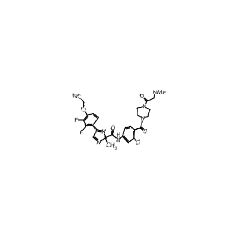 CNCC(=O)N1CCN(C(=O)c2ccc(NC(=O)C3(C)N=CC(c4ccc(OCC#N)c(F)c4F)=N3)cc2Cl)CC1